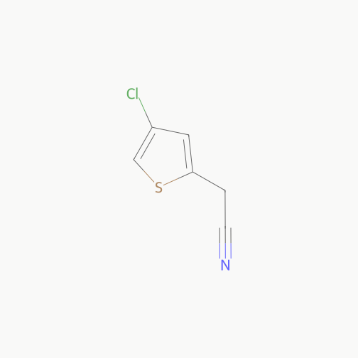 N#CCc1cc(Cl)cs1